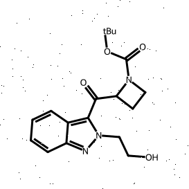 CC(C)(C)OC(=O)N1CCC1C(=O)c1c2ccccc2nn1CCO